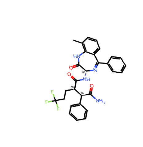 Cc1cccc2c1NC(=O)[C@@H](NC(=O)[C@H](CCC(F)(F)F)[C@@H](C(N)=O)c1ccccc1)N=C2c1ccccc1